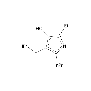 CCCc1nn(CC)c(O)c1CC(C)C